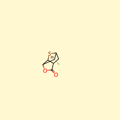 C[C@H]1C2CC3C(=O)OC1C3S2